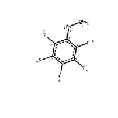 BNc1c(F)c(F)c(F)c(F)c1F